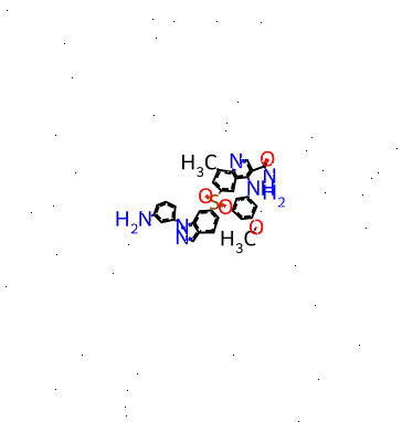 COc1cccc(Nc2c(C(N)=O)cnc3c(C)cc(S(=O)(=O)c4ccc5cnn(-c6cccc(N)c6)c5c4)cc23)c1